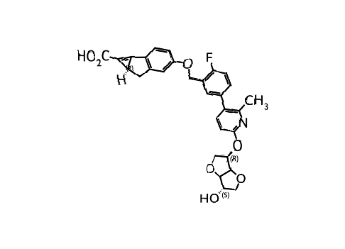 Cc1nc(O[C@@H]2COC3C2OC[C@@H]3O)ccc1-c1ccc(F)c(COc2ccc3c(c2)C[C@H]2C(C(=O)O)=C32)c1